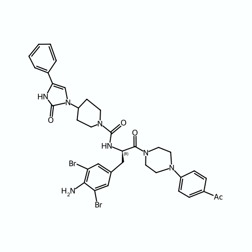 CC(=O)c1ccc(N2CCN(C(=O)[C@@H](Cc3cc(Br)c(N)c(Br)c3)NC(=O)N3CCC(n4cc(-c5ccccc5)[nH]c4=O)CC3)CC2)cc1